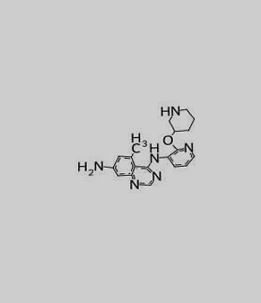 Cc1cc(N)cc2ncnc(Nc3cccnc3OC3CCCNC3)c12